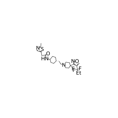 CCC(F)(F)c1conc1C1(F)CCN(CC[C@H]2CC[C@H](NC(=O)Cc3cnc(C)s3)CC2)CC1